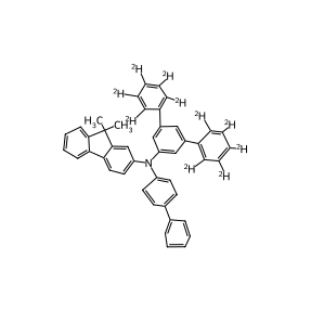 [2H]c1c([2H])c([2H])c(-c2cc(-c3c([2H])c([2H])c([2H])c([2H])c3[2H])cc(N(c3ccc(-c4ccccc4)cc3)c3ccc4c(c3)C(C)(C)c3ccccc3-4)c2)c([2H])c1[2H]